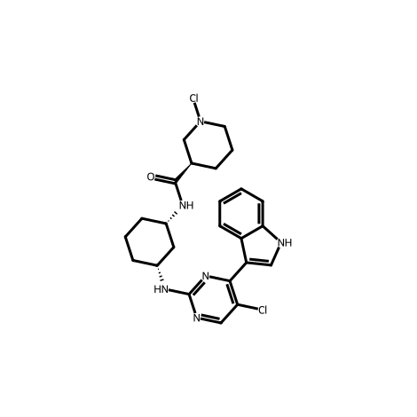 O=C(N[C@H]1CCC[C@@H](Nc2ncc(Cl)c(-c3c[nH]c4ccccc34)n2)C1)[C@@H]1CCCN(Cl)C1